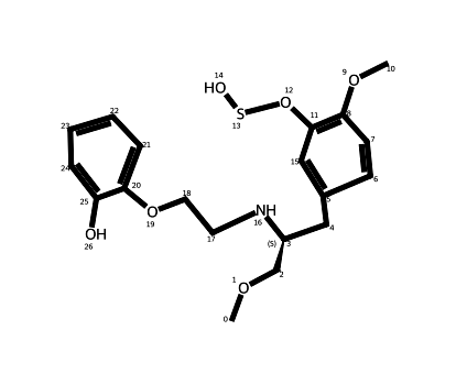 COC[C@H](Cc1ccc(OC)c(OSO)c1)NCCOc1ccccc1O